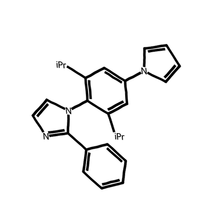 CC(C)c1cc(-n2cccc2)cc(C(C)C)c1-n1ccnc1-c1ccccc1